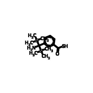 C[Si](C)(C)C(N)(c1cccc(C(=O)S)c1)[Si](C)(C)C